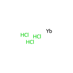 Cl.Cl.Cl.[Yb]